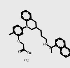 Cc1ccc(N2CC(CCCN[C@H](C)c3cccc4ccccc34)Cc3ccccc32)cc1OCC(=O)O.Cl